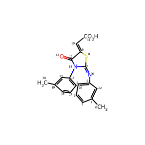 Cc1cccc(/N=C2/S/C(=C\C(=O)O)C(=O)N2c2cccc(C)c2)c1